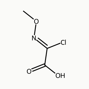 CON=C(Cl)C(=O)O